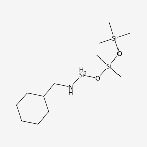 C[Si](C)(C)O[Si](C)(C)O[SiH2]NCC1CCCCC1